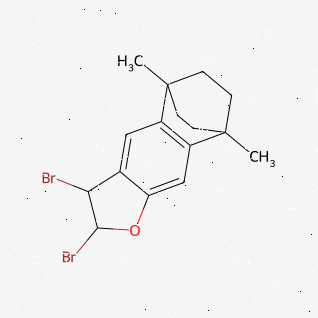 CC12CCC(C)(CC1)c1cc3c(cc12)OC(Br)C3Br